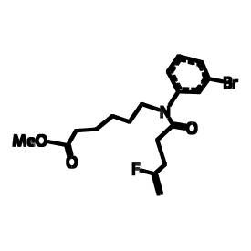 C=C(F)CCC(=O)N(CCCCCC(=O)OC)c1cccc(Br)c1